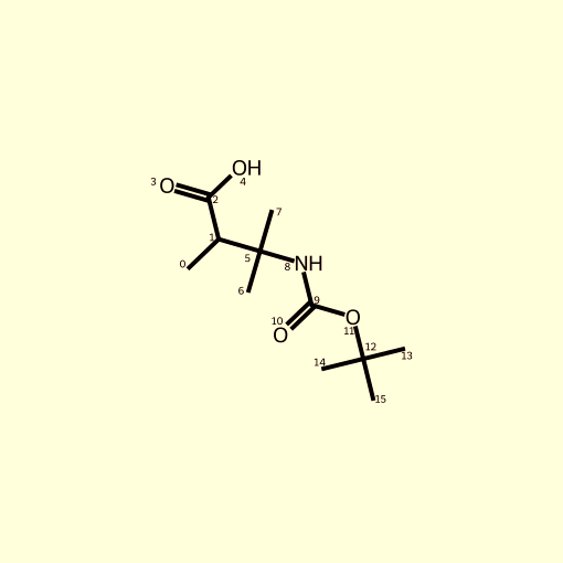 CC(C(=O)O)C(C)(C)NC(=O)OC(C)(C)C